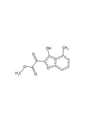 COC(=O)C(=O)c1oc2cccc(C)c2c1O